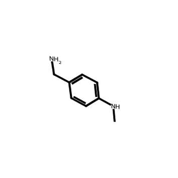 CNc1ccc(CN)cc1